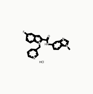 Cl.Cn1cnc2cc(NC(=O)c3cc4cc(F)ccc4n3Cc3cccnc3)ccc21